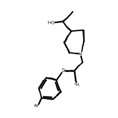 [2H]C(CN1CCC(C(C)O)CC1)Oc1ccc(Br)cc1